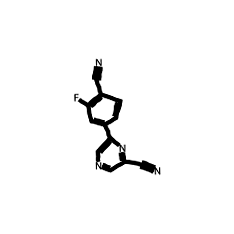 N#Cc1cncc(-c2ccc(C#N)c(F)c2)n1